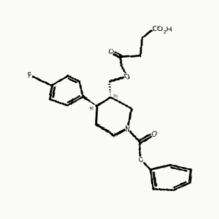 O=C(O)CCC(=O)OC[C@@H]1CN(C(=O)Oc2ccccc2)CC[C@H]1c1ccc(F)cc1